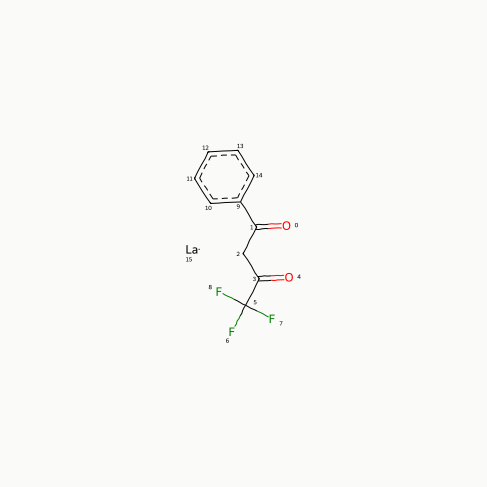 O=C(CC(=O)C(F)(F)F)c1ccccc1.[La]